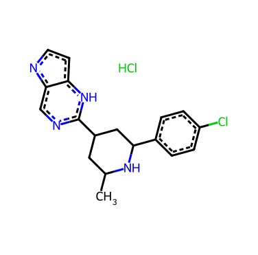 CC1CC(c2ncc3nccc-3[nH]2)CC(c2ccc(Cl)cc2)N1.Cl